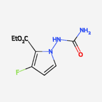 CCOC(=O)c1c(F)ccn1NC(N)=O